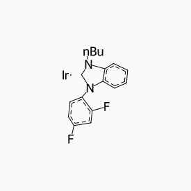 CCCCN1CN(c2ccc(F)cc2F)c2ccccc21.[Ir]